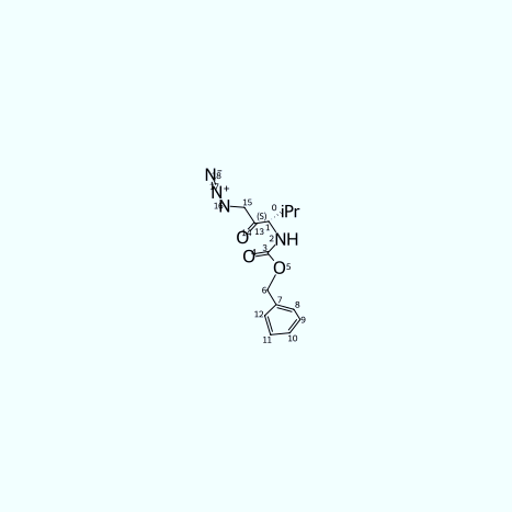 CC(C)[C@H](NC(=O)OCc1ccccc1)C(=O)CN=[N+]=[N-]